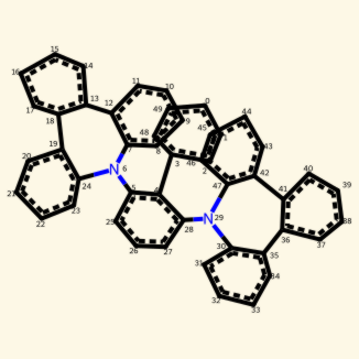 c1ccc(-c2c(N3c4ccccc4-c4ccccc4-c4ccccc43)cccc2N2c3ccccc3-c3ccccc3-c3ccccc32)cc1